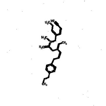 C#C/C=C\C(=C/CC)CN(C)C(=C)CC(/C=C\Cc1ccc(CCC)cc1)=C/C